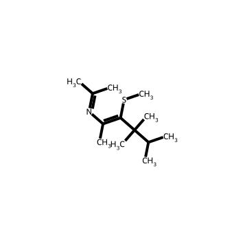 CS/C(=C(/C)N=C(C)C)C(C)(C)C(C)C